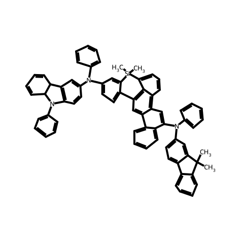 CC1(C)c2ccccc2-c2ccc(N(c3ccccc3)c3cc4c5cccc6c5c(cc4c4ccccc34)-c3ccc(N(c4ccccc4)c4ccc5c(c4)C4C=CC=CC4N5c4ccccc4)cc3[Si]6(C)C)cc21